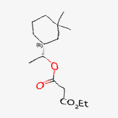 CCOC(=O)CC(=O)OC(C)[C@@H]1CCCC(C)(C)C1